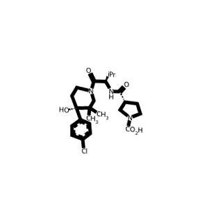 CC(C)[C@@H](NC(=O)[C@@H]1CCN(C(=O)O)C1)C(=O)N1CC[C@](O)(c2ccc(Cl)cc2)C(C)(C)C1